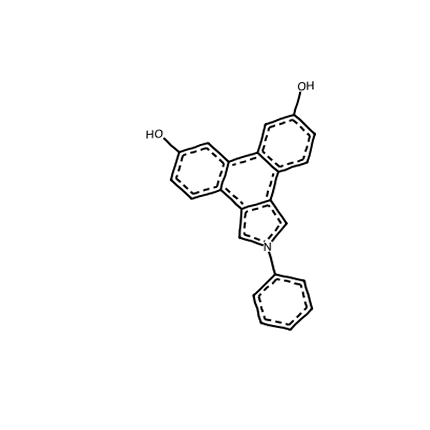 Oc1ccc2c(c1)c1cc(O)ccc1c1cn(-c3ccccc3)cc21